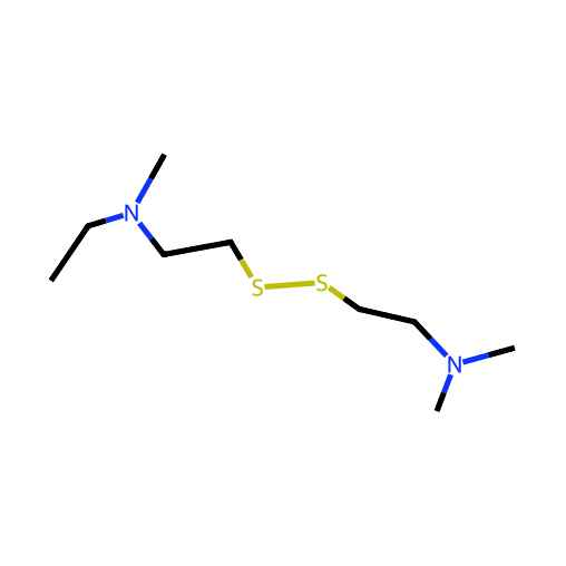 CCN(C)CCSSCCN(C)C